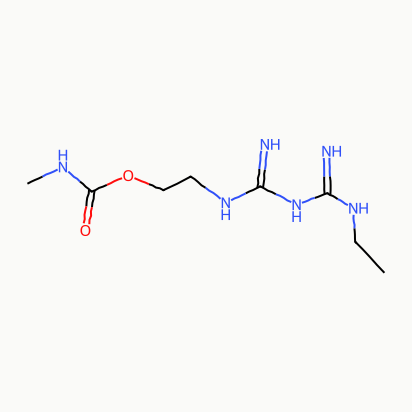 CCNC(=N)NC(=N)NCCOC(=O)NC